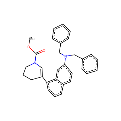 CC(C)(C)OC(=O)N1C=C(c2cccc3ccc(N(Cc4ccccc4)Cc4ccccc4)cc23)CCC1